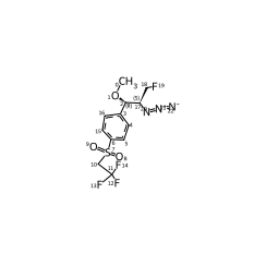 CO[C@H](c1ccc(S(=O)(=O)CC(F)(F)F)cc1)[C@@H](CF)N=[N+]=[N-]